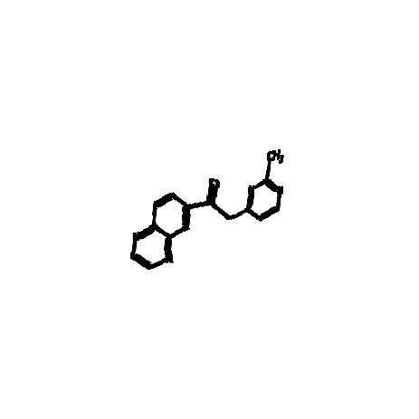 Cc1nccc(CC(=O)c2ccc3nccnc3c2)n1